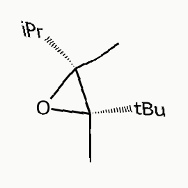 CC(C)[C@@]1(C)O[C@@]1(C)C(C)(C)C